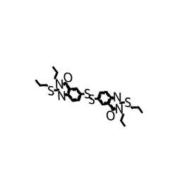 CCCSc1nc2ccc(SSc3ccc4nc(SCCC)n(CCC)c(=O)c4c3)cc2c(=O)n1CCC